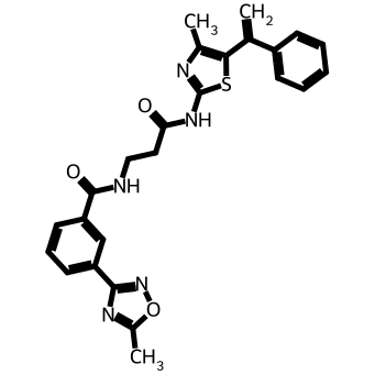 C=C(c1ccccc1)c1sc(NC(=O)CCNC(=O)c2cccc(-c3noc(C)n3)c2)nc1C